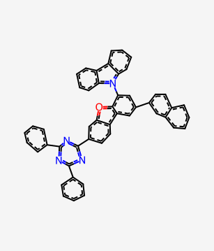 c1ccc(-c2nc(-c3ccccc3)nc(-c3ccc4c(c3)oc3c(-n5c6ccccc6c6ccccc65)cc(-c5ccc6ccccc6c5)cc34)n2)cc1